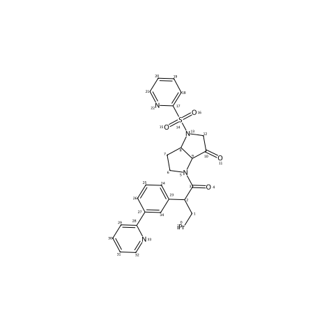 CC(C)CC(C(=O)N1CCC2C1C(=O)CN2S(=O)(=O)c1ccccn1)c1cccc(-c2ccccn2)c1